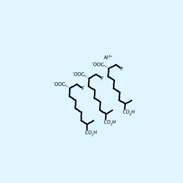 CC(CCCCC[C@@H](CF)C(=O)[O-])C(=O)O.CC(CCCCC[C@@H](CF)C(=O)[O-])C(=O)O.CC(CCCCC[C@@H](CF)C(=O)[O-])C(=O)O.[Al+3]